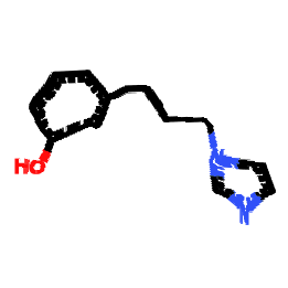 Oc1cccc(CCCn2ccnc2)c1